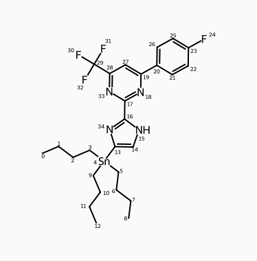 CCC[CH2][Sn]([CH2]CCC)([CH2]CCC)[c]1c[nH]c(-c2nc(-c3ccc(F)cc3)cc(C(F)(F)F)n2)n1